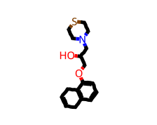 OC(COc1cccc2c1CC=CC2)CN1CCSCC1